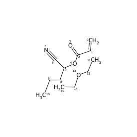 C=CC(=O)OC(C#N)CCC.CCOCC